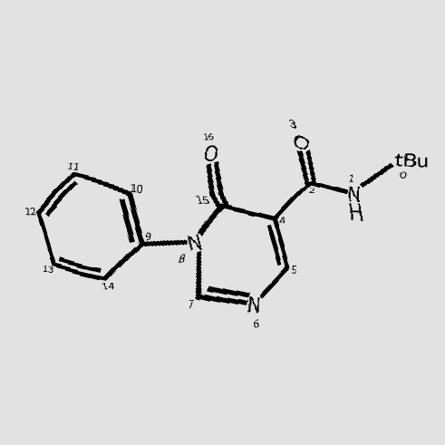 CC(C)(C)NC(=O)c1cncn(-c2ccccc2)c1=O